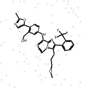 COCCCc1c(-c2ccccc2C(F)(F)F)nc2c(Nc3ccc(-c4cnc(C)o4)c(CO)c3)cccn12